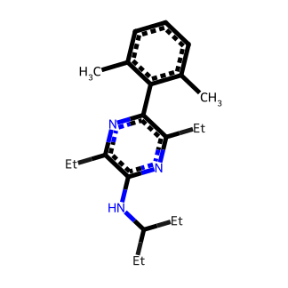 CCc1nc(-c2c(C)cccc2C)c(CC)nc1NC(CC)CC